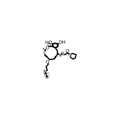 C[C@@H]1C/C=C/C(OCCCN=[N+]=[N-])C/C=C/C(=N/OCC(=O)N2CCCCC2)Cc2cc(O)cc(O)c2C(=O)O1